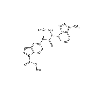 Cn1cnc2c(N(NC=O)C(=S)Nc3ccc4c(cnn4C(=O)OC(C)(C)C)c3)cccc21